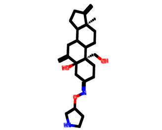 C=C1CCC2C3CC(=C)[C@@]4(O)CC(=NOC5CCNC5)CC[C@]4(CO)C3CC[C@]12C